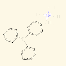 C[N+](C)(C)C.c1ccc(B(c2ccccc2)c2ccccc2)cc1